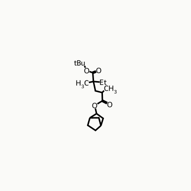 CCC(C)(CC(C)C(=O)OC1CC2CCC1C2)C(=O)OC(C)(C)C